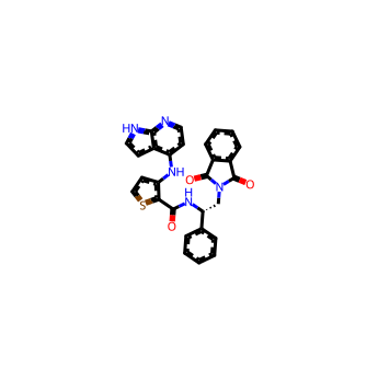 O=C(N[C@H](CN1C(=O)c2ccccc2C1=O)c1ccccc1)c1sccc1Nc1ccnc2[nH]ccc12